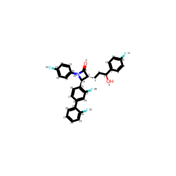 O=C1[C@H](CC[C@H](O)c2ccc(F)cc2)[C@@H](c2ccc(-c3ccccc3F)cc2F)N1c1ccc(F)cc1